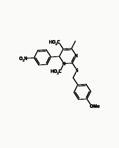 COc1ccc(CSC2=NC(C)=C(C(=O)O)C(c3ccc([N+](=O)[O-])cc3)N2C(=O)O)cc1